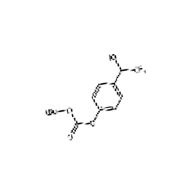 CC(C)(C)OC(=O)Oc1ccc(C(O)C(F)(F)F)cc1